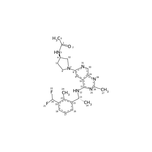 CC(=O)N[C@@H]1CCN(c2cc3c(N[C@H](C)c4cccc(C(F)F)c4C)nc(C)nc3cn2)C1